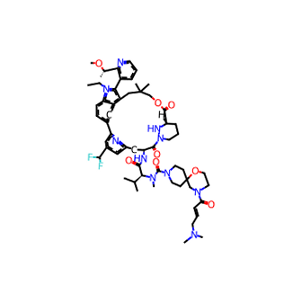 CCn1c(-c2cccnc2[C@H](C)OC)c2c3cc(ccc31)-c1cc(C(F)F)cc(n1)C[C@H](NC(=O)[C@H](C(C)C)N(C)C(=O)N1CCC3(CC1)CN(C(=O)/C=C/CN(C)C)CCO3)C(=O)N1CCC[C@H](N1)C(=O)OCC(C)(C)C2